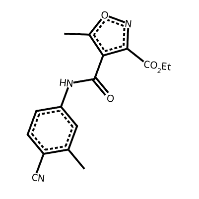 CCOC(=O)c1noc(C)c1C(=O)Nc1ccc(C#N)c(C)c1